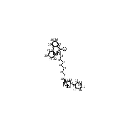 O=C(NCCCCCCCCn1cc(-c2cccnc2)nn1)c1ccccc1-c1ccccc1